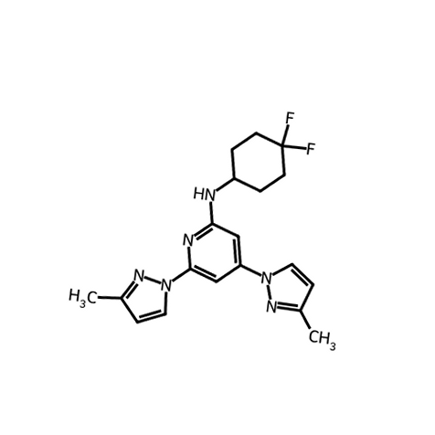 Cc1ccn(-c2cc(NC3CCC(F)(F)CC3)nc(-n3ccc(C)n3)c2)n1